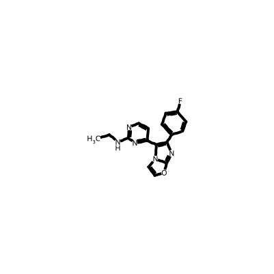 CCNc1nccc(-c2c(-c3ccc(F)cc3)nc3occn23)n1